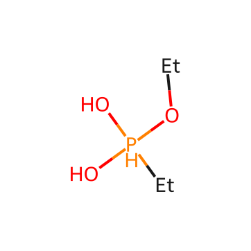 CCO[PH](O)(O)CC